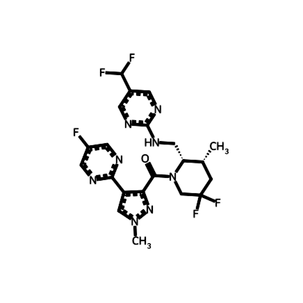 C[C@@H]1CC(F)(F)CN(C(=O)c2nn(C)cc2-c2ncc(F)cn2)[C@@H]1CNc1ncc(C(F)F)cn1